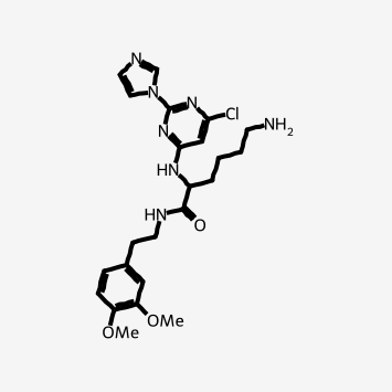 COc1ccc(CCNC(=O)C(CCCCN)Nc2cc(Cl)nc(-n3ccnc3)n2)cc1OC